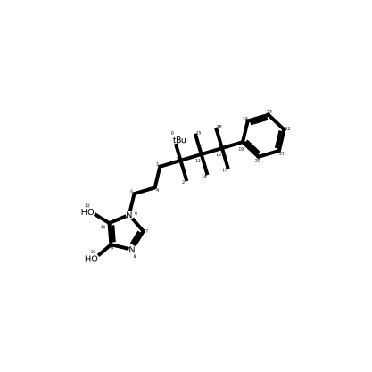 CC(C)(C)C(C)(CCCn1cnc(O)c1O)C(C)(C)C(C)(C)c1ccccc1